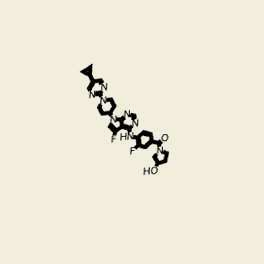 O=C(c1ccc(Nc2ncnc3c2c(F)cn3C2CCN(c3ncc(C4CC4)cn3)CC2)c(F)c1)N1CCC(O)C1